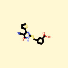 N#Cc1c(-c2cccs2)nc(SCc2cccc(C(=O)O)c2)[nH]c1=O